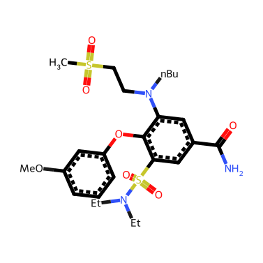 CCCCN(CCS(C)(=O)=O)c1cc(C(N)=O)cc(S(=O)(=O)N(CC)CC)c1Oc1cccc(OC)c1